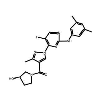 Cc1cc(C)cc(Nc2ncc(F)c(-n3cc(C(=O)N4CC[C@@H](O)C4)c(C)n3)n2)c1